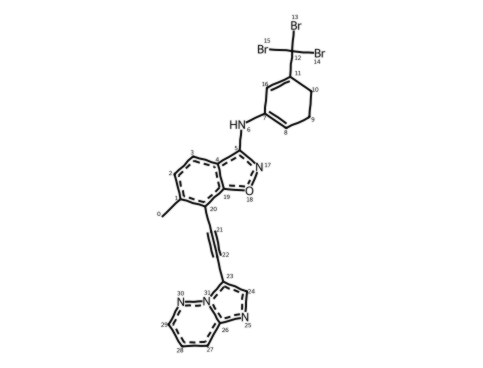 Cc1ccc2c(NC3=CCCC(C(Br)(Br)Br)=C3)noc2c1C#Cc1cnc2cccnn12